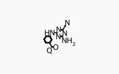 COC(=O)c1cccc(Nc2nc(N)nc(C#N)n2)c1